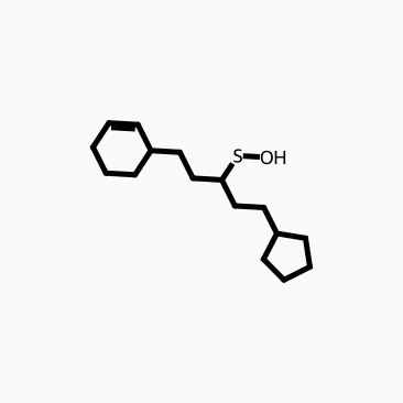 OSC(CCC1C=CCCC1)CCC1CCCC1